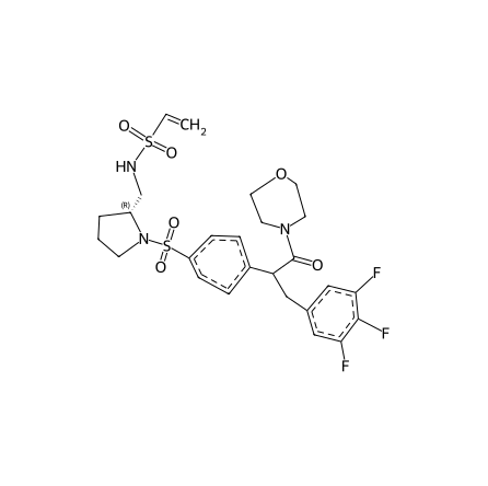 C=CS(=O)(=O)NC[C@H]1CCCN1S(=O)(=O)c1ccc(C(Cc2cc(F)c(F)c(F)c2)C(=O)N2CCOCC2)cc1